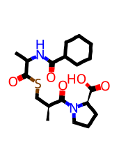 CC(NC(=O)C1CCCCC1)C(=O)SC[C@H](C)C(=O)N1CCC[C@@H]1C(=O)O